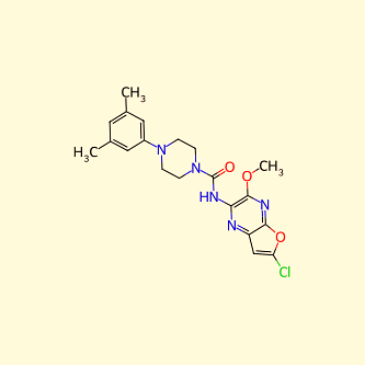 COc1nc2oc(Cl)cc2nc1NC(=O)N1CCN(c2cc(C)cc(C)c2)CC1